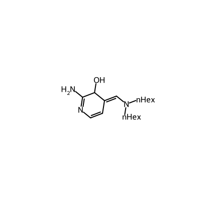 CCCCCCN(C=C1C=CN=C(N)C1O)CCCCCC